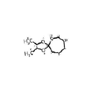 CCOC1(OCC)CCCCCS1